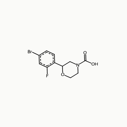 O=C(O)N1CCOC(c2ccc(Br)cc2F)C1